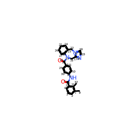 Cc1cccc(C(=O)Nc2ccc(C(=O)N3Cc4nccn4Cc4ccccc43)cc2)c1C